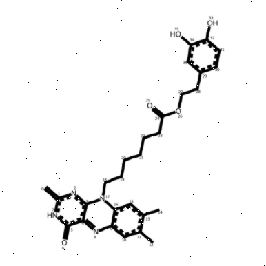 C=c1nc2c(c(=O)[nH]1)=Nc1cc(C)c(C)cc1N2CCCCCCC(=O)OCCc1ccc(O)c(O)c1